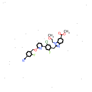 COCCn1c(Cc2cc(Cl)c(-c3cccc(OCc4ccc(C#N)cc4F)n3)cc2F)nc2ccc(C(=O)OC)cc21